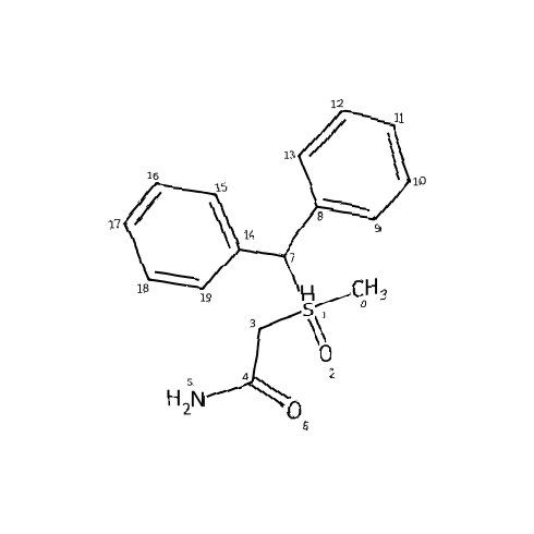 C[SH](=O)(CC(N)=O)C(c1ccccc1)c1ccccc1